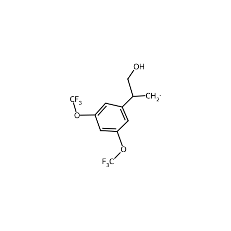 [CH2]C(CO)c1cc(OC(F)(F)F)cc(OC(F)(F)F)c1